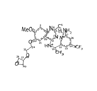 COc1cc2nc(C)nc(NC(C)c3cc(C(F)(F)F)cc(N)n3)c2cc1OCCOC1COC1